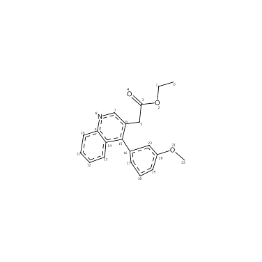 CCOC(=O)Cc1cnc2ccccc2c1-c1cccc(OC)c1